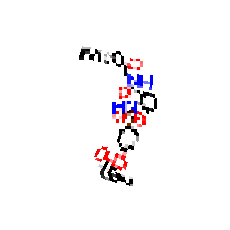 COC(=O)CNC(=O)c1ccccc1NS(=O)(=O)c1ccc(OC(=O)C(C)(C)C)cc1